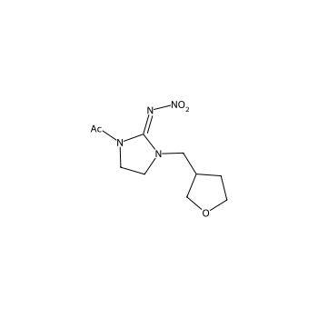 CC(=O)N1CCN(CC2CCOC2)C1=N[N+](=O)[O-]